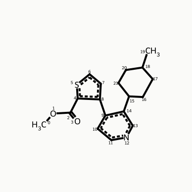 COC(=O)c1sccc1-c1ccncc1C1CCC(C)CC1